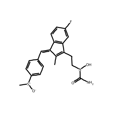 CC1=C(CCN(O)C(N)=O)c2cc(F)ccc2C1=Cc1ccc([S+](C)[O-])cc1